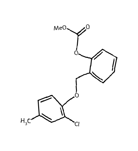 COC(=O)Oc1ccccc1COc1ccc(C)cc1Cl